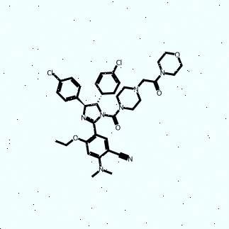 CCOc1cc(N(C)C)c(C#N)cc1C1=N[C@@H](c2ccc(Cl)cc2)C([C@@H]2C=CC(Cl)=CC2)N1C(=O)N1CCN(CC(=O)N2CCOCC2)CC1